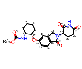 CC(C)(C)OC(=O)N[C@@H]1CCCC[C@@H]1Oc1ccc2c(c1)CN(C1CCC(=O)NC1=O)C2=O